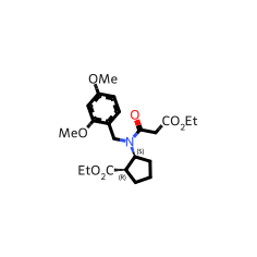 CCOC(=O)CC(=O)N(Cc1ccc(OC)cc1OC)[C@H]1CCC[C@H]1C(=O)OCC